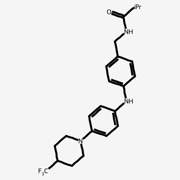 CC(C)C(=O)NCc1ccc(Nc2ccc(N3CCC(C(F)(F)F)CC3)cc2)cc1